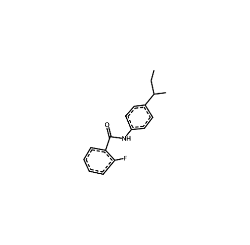 CCC(C)c1ccc(NC(=O)c2ccccc2F)cc1